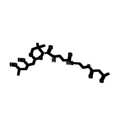 CC(=O)CC(=O)SCCNC(=O)CCNC(=O)[C@@H]1OC(CC(O)CC(C)O)OCC1(C)C